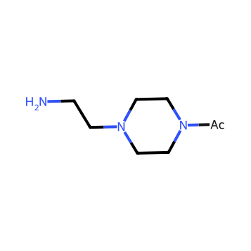 CC(=O)N1CCN(CCN)CC1